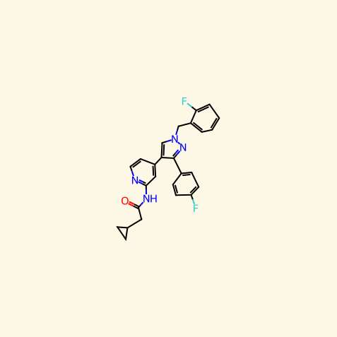 O=C(CC1CC1)Nc1cc(-c2cn(Cc3ccccc3F)nc2-c2ccc(F)cc2)ccn1